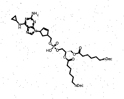 CCCCCCCCCCCCCCCC(=O)OC[C@@H](COP(=O)(O)OCC1C=CC(n2cnc3c(NC4CC4)nc(N)nc32)C1)OC(=O)CCCCCCCCCCCCCCC